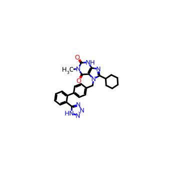 Cn1c(=O)[nH]c2nc(C3CCCCC3)n(Cc3ccc(-c4ccccc4-c4nnn[nH]4)cc3)c2c1=O